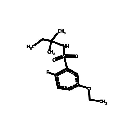 CCOc1ccc(F)c(S(=O)(=O)NC(C)(C)CC)c1